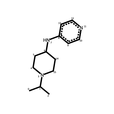 CC(C)N1CCC(Nc2ccncc2)CC1